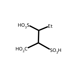 CCC([C](C(=O)O)S(=O)(=O)O)S(=O)(=O)O